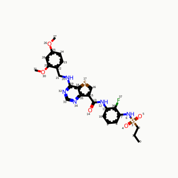 CCCS(=O)(=O)Nc1cccc(NC(=O)c2csc3c(NCc4ccc(OC)cc4OC)ncnc23)c1F